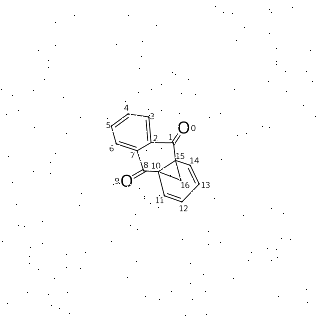 O=C1c2ccccc2C(=O)C23C=CC=CC12C3